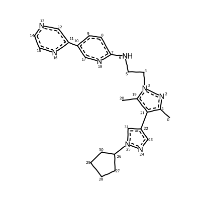 Cc1nn(CCNc2ccc(-c3cnccn3)cn2)c(C)c1-c1cnn(C2CCCC2)c1